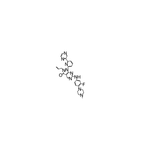 C=CCn1c(=O)c2cnc(Nc3ccc(N4CCN(C)CC4)c(F)c3)nc2n1-c1cccc(-c2cnccn2)n1